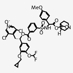 COc1ccc(C(NS(=O)(=O)c2cccc(C(=O)O[C@@H](Cc3c(Cl)c[n+]([O-])cc3Cl)c3ccc(OC(F)F)c(OCC4CC4)c3)c2)C(=O)O[C@H]2CN3CCC2CC3)cc1